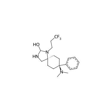 CN(C)[C@]1(c2ccccc2)CC[C@]2(CC1)CNC(O)N2CCC(F)(F)F